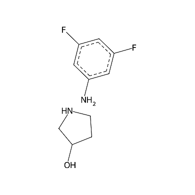 Nc1cc(F)cc(F)c1.OC1CCNC1